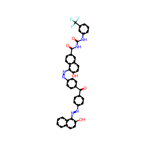 O=C(NC(=O)c1ccc2c(/N=N\c3ccc(C(=O)c4ccc(N=Nc5c(O)ccc6ccccc56)cc4)cc3)c(O)ccc2c1)Nc1cccc(C(F)(F)F)c1